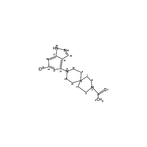 CC(=O)N1CCC2(CC1)CCN(c1cc(Cl)cc3[nH]ncc13)CC2